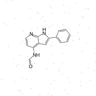 O=CNc1ccnc2[nH]c(-c3ccccc3)cc12